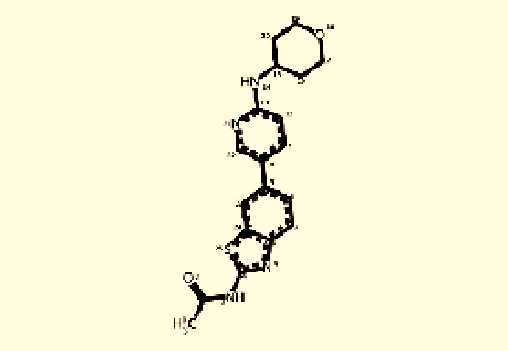 CC(=O)Nc1nc2ccc(-c3ccc(NC4CCOCC4)nc3)cc2s1